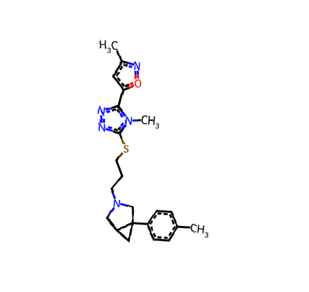 Cc1ccc(C23CC2CN(CCCSc2nnc(-c4cc(C)no4)n2C)C3)cc1